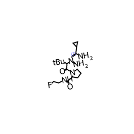 CC(C)(C)C(C(=O)N1CCCC1C(=O)NCCF)N(N)/C=C(\N)C1CC1